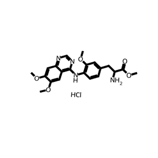 COC(=O)C(N)Cc1ccc(Nc2ncnc3cc(OC)c(OC)cc23)c(OC)c1.Cl